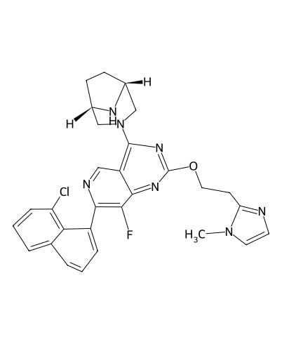 Cn1ccnc1CCOc1nc(N2C[C@H]3CC[C@@H](C2)N3)c2cnc(-c3cccc4cccc(Cl)c34)c(F)c2n1